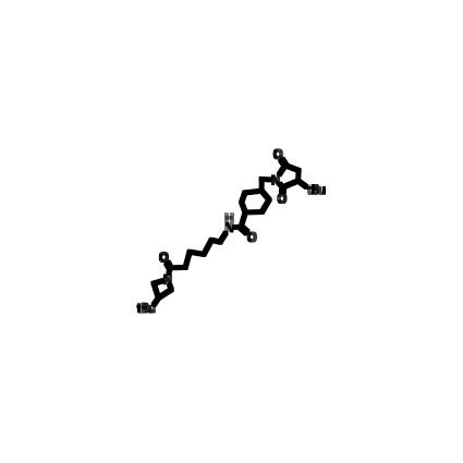 CC(C)(C)C1CN(C(=O)CCCCCNC(=O)C2CCC(CN3C(=O)CC(C(C)(C)C)C3=O)CC2)C1